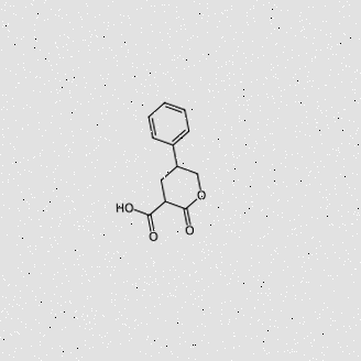 O=C(O)C1CC(c2ccccc2)COC1=O